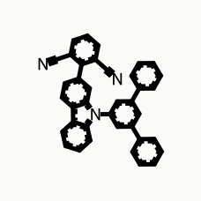 N#Cc1cccc(C#N)c1-c1ccc2c3ccccc3n(-c3cc(-c4ccccc4)cc(-c4ccccc4)c3)c2c1